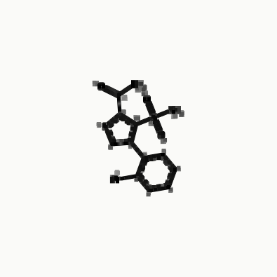 CC(C)c1ccccc1-c1csc(C(N)=O)c1S(N)(=O)=O